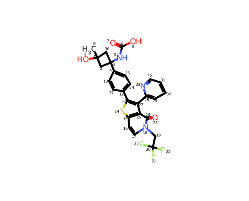 CC1(O)CC(NC(=O)O)(c2ccc(-c3sc4ccn(CC(F)(F)F)c(=O)c4c3-c3ccccn3)cc2)C1